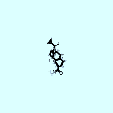 C[C@H](C1CC1)N1CC[C@]2(C)c3cc(C(N)=O)ccc3CC1[C@@H]2C